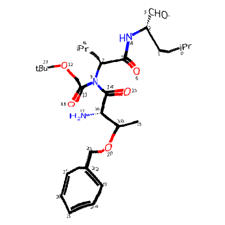 CC(C)C[C@@H]([C]=O)NC(=O)[C@H](C(C)C)N(C(=O)OC(C)(C)C)C(=O)[C@@H](N)C(C)OCc1ccccc1